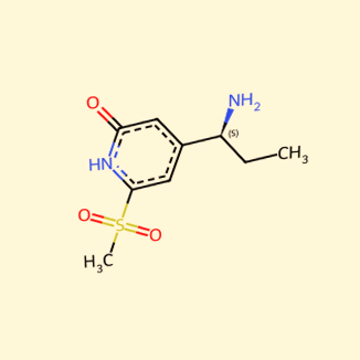 CC[C@H](N)c1cc(S(C)(=O)=O)[nH]c(=O)c1